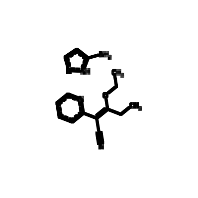 CCOC(CC)=C(C#N)c1ccccn1.Nc1ccn[nH]1